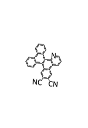 N#Cc1cc2c3cccnc3c3c4ccccc4c4ccccc4c3c2cc1C#N